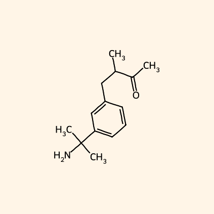 CC(=O)C(C)Cc1cccc(C(C)(C)N)c1